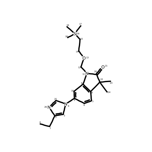 CCc1cn(-c2ccc3c(c2)N(COCC[Si](C)(C)C)C(=O)C3(C)C)cn1